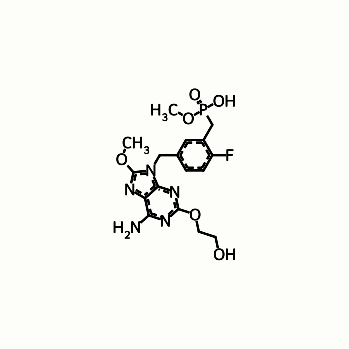 COc1nc2c(N)nc(OCCO)nc2n1Cc1ccc(F)c(CP(=O)(O)OC)c1